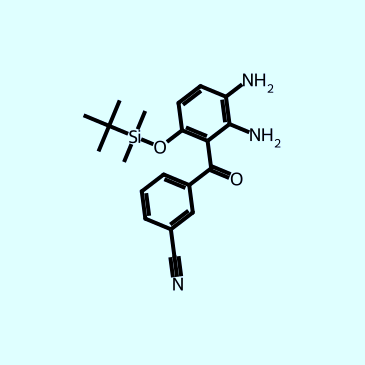 CC(C)(C)[Si](C)(C)Oc1ccc(N)c(N)c1C(=O)c1cccc(C#N)c1